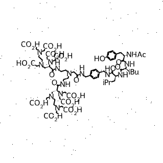 CCC(C)[C@H](NC(=O)[C@H](Cc1ccc(O)cc1)NC(C)=O)C(=O)N[C@@H](CC(C)C)C(=O)NCc1ccc(CNC(=O)CN(CCNC(=O)[C@@H](CN(CCN(CC(=O)O)CC(=O)O)CC(=O)O)N(CC(=O)O)CC(=O)O)CCNC(=O)[C@@H](CN(CCN(CC(=O)O)CC(=O)O)CC(=O)O)N(CC(=O)O)CC(=O)O)cc1